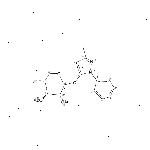 CC(=O)O[C@H]1[C@H](C)COC(Oc2cc(C)nn2-c2ccccc2)[C@@H]1OC(C)=O